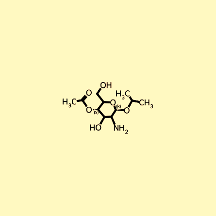 CC(=O)O[C@@H]1C(CO)O[C@@H](OC(C)C)C(N)C1O